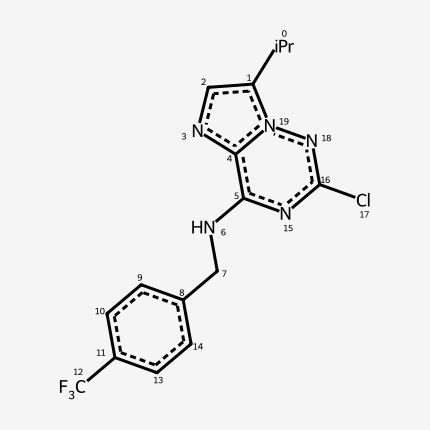 CC(C)c1cnc2c(NCc3ccc(C(F)(F)F)cc3)nc(Cl)nn12